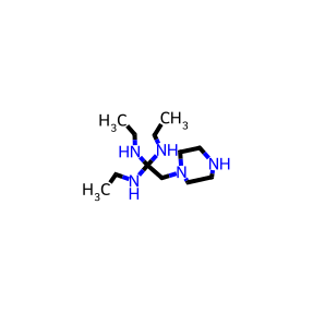 CCNC(CN1CCNCC1)(NCC)NCC